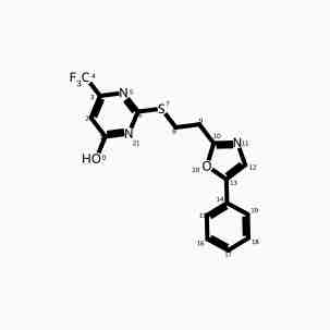 Oc1cc(C(F)(F)F)nc(SCCc2ncc(-c3ccccc3)o2)n1